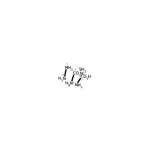 NC(=O)O.NC(=O)O.NN.S